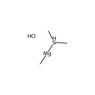 Cl.[CH3][Mg][SiH](C)C